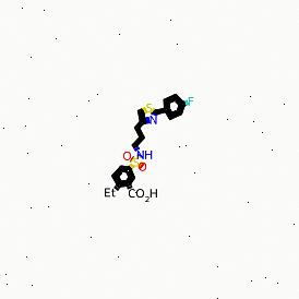 CCc1ccc(S(=O)(=O)NCCCc2csc(-c3ccc(F)cc3)n2)cc1C(=O)O